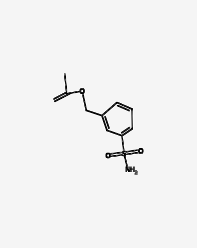 C=C(C)OCc1cccc(S(N)(=O)=O)c1